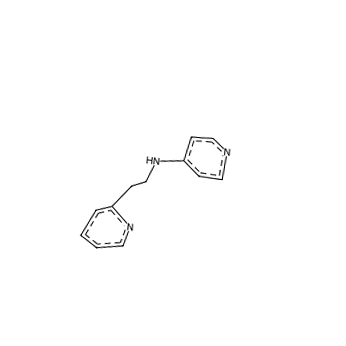 c1ccc(CCNc2ccncc2)nc1